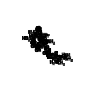 CC(C)C[C@H](NC(=O)[C@H](Cc1ccc(O)cc1)NC(=O)[C@H](CC(N)=O)NC(=O)CNC(=O)[C@H](CC(=O)O)NC(=O)CNC(=O)[C@H](CCCNC(=N)N)NC(=O)[C@H](C)N)C(=O)N[C@@H](Cc1ccccc1)C(=O)N[C@@H](C)C(=O)N[C@@H](Cc1ccc(O)cc1)C(=O)O